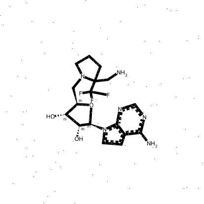 NCC1(C(F)(F)F)CCCN1C[C@H]1O[C@@H](n2ccc3c(N)ncnc32)[C@H](O)[C@@H]1O